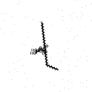 CCCCCCCC/C=C\CCCCCCCC(=O)OC(COC(=O)CCCCCCCCCCCCCCCCC)COP(=O)(O)OCC(O)CO